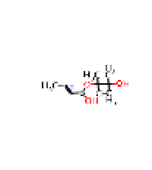 C/C=C/B(O)OC(C)(C)C(C)(C)O